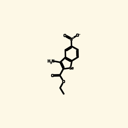 CCOC(=O)c1[se]c2ccc([N+](=O)[O-])cc2c1N